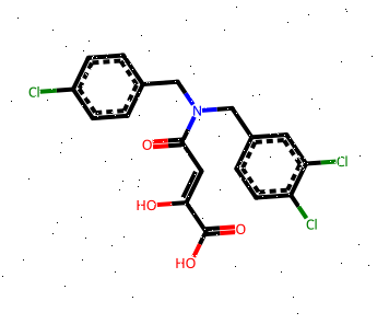 O=C(O)C(O)=CC(=O)N(Cc1ccc(Cl)cc1)Cc1ccc(Cl)c(Cl)c1